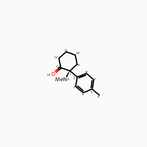 CN[C@]1(c2ccc(C)cc2)CCCCC1=O